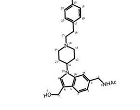 CC(=O)NCc1ccc2c(CO)cn(C3CCN(CCc4ccc(F)cc4)CC3)c2c1